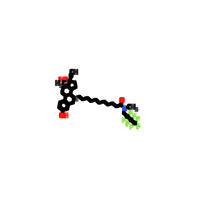 C#C[C@]1(O)CCC2C3C(CC[C@@]21C)c1ccc(O)cc1C[C@H]3CCCCCCCCCCC(=O)N(C)CC(F)(F)C(F)(F)C(F)(F)F